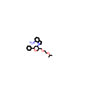 CC(C)OCCOCC1COC(c2ccccc2)CC1n1ccc2cccc(N)c21